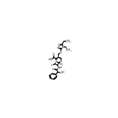 CCc1nnc(SCC2=C(C(=O)O)N3C(=O)C(NC(=O)C(O)c4ccccc4)[C@@H]3SC2)n1CC